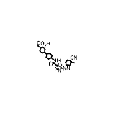 Cc1cc(Nc2nnc(C(=O)Nc3ccc(C4CCC(CC(=O)O)CC4)cc3)o2)ccc1C#N